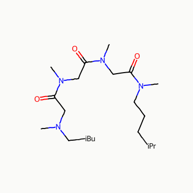 CCC(C)CN(C)CC(=O)N(C)CC(=O)N(C)CC(=O)N(C)CCCC(C)C